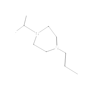 CCCN1CCN(C(C)[O])CC1